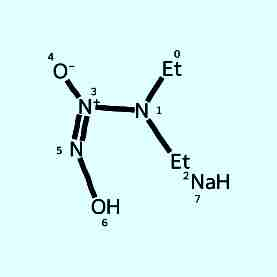 CCN(CC)/[N+]([O-])=N\O.[NaH]